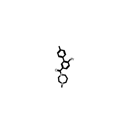 Cc1ccc(-c2cc(C(=O)N3CCCN(C)CC3)ccc2C(C)C)cc1